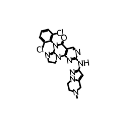 CN1CCn2nc(Nc3ncc4c(n3)N3CCN=C3N(c3c(Cl)cccc3Cl)C4=O)cc2C1